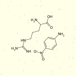 N=C(N)NCCCC(N)C(=O)O.Nc1ccc([N+](=O)[O-])cc1